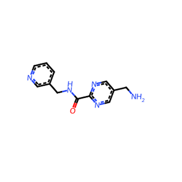 NCc1cnc(C(=O)NCc2cccnc2)nc1